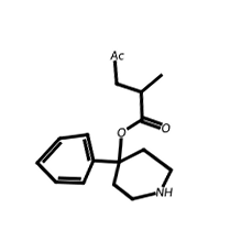 CC(=O)CC(C)C(=O)OC1(c2ccccc2)CCNCC1